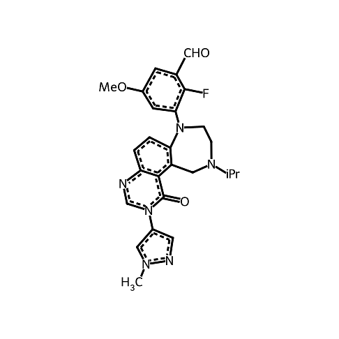 COc1cc(C=O)c(F)c(N2CCN(C(C)C)Cc3c2ccc2ncn(-c4cnn(C)c4)c(=O)c32)c1